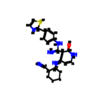 N#CC1CCCC[C@@H]1Nc1cc[nH]c(=O)c1C(=N)Nc1ccc(-c2nccs2)cc1